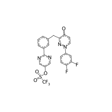 O=c1ccn(-c2ccc(F)c(F)c2)nc1Cc1cccc(-c2ncc(OS(=O)(=O)C(F)(F)F)cn2)c1